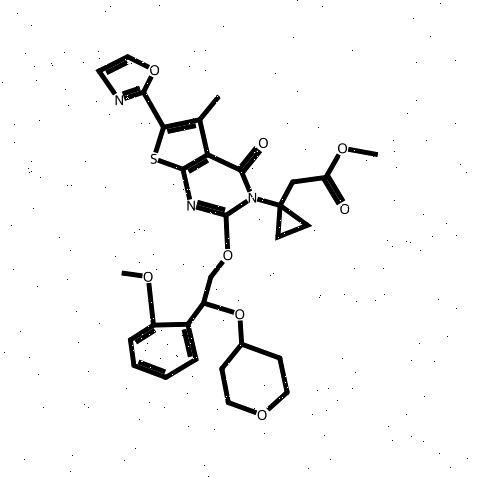 COC(=O)CC1(n2c(OCC(OC3CCOCC3)c3ccccc3OC)nc3sc(-c4ncco4)c(C)c3c2=O)CC1